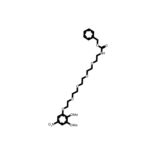 COc1cc([N+](=O)[O-])cc(OCCOCCOCCOCCOCCNC(=O)OCc2ccccc2)c1OC